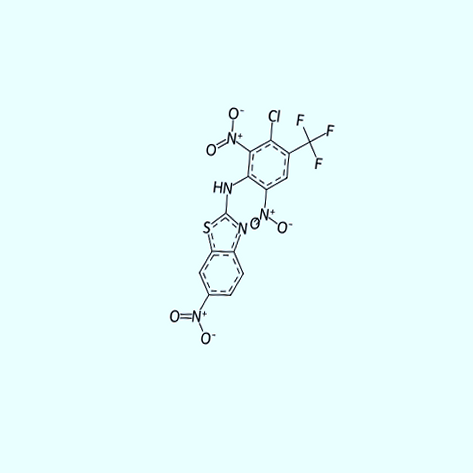 O=[N+]([O-])c1ccc2nc(Nc3c([N+](=O)[O-])cc(C(F)(F)F)c(Cl)c3[N+](=O)[O-])sc2c1